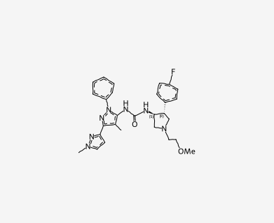 COCCN1C[C@@H](NC(=O)Nc2c(C)c(-c3ccn(C)n3)nn2-c2ccccc2)[C@H](c2ccc(F)cc2)C1